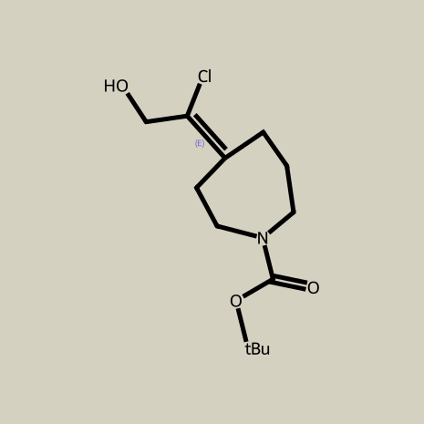 CC(C)(C)OC(=O)N1CCC/C(=C(\Cl)CO)CC1